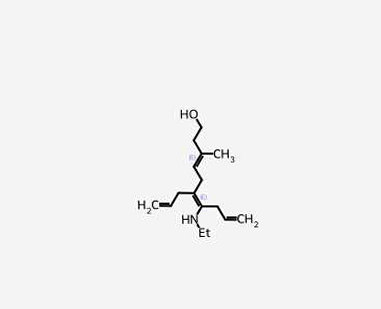 C=CC/C(C/C=C(\C)CCO)=C(/CC=C)NCC